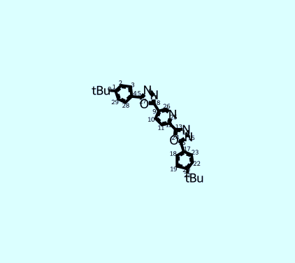 CC(C)(C)c1ccc(-c2nnc(-c3ccc(-c4nnc(-c5ccc(C(C)(C)C)cc5)o4)nc3)o2)cc1